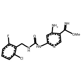 COC(=N)c1cnc(NC(=O)NCc2c(F)cccc2Cl)cc1N